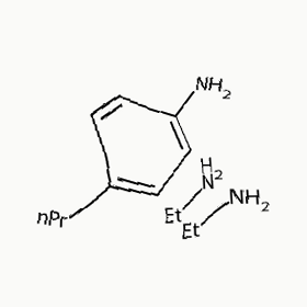 CCCc1ccc(N)cc1.CCN.CCN